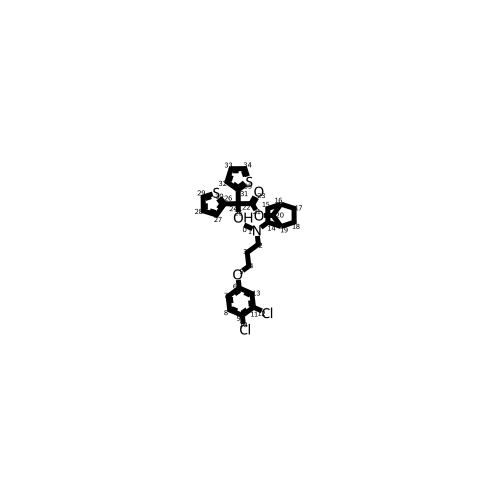 CN(CCCOc1ccc(Cl)c(Cl)c1)C1CC2CCC1C2OC(=O)C(O)(c1cccs1)c1cccs1